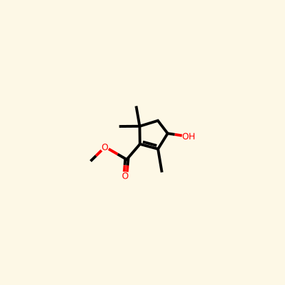 COC(=O)C1=C(C)C(O)CC1(C)C